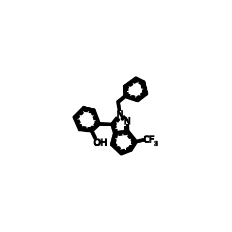 Oc1ccccc1-c1c2cccc(C(F)(F)F)c2nn1Cc1ccccc1